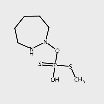 CSP(O)(=S)ON1CCCCCN1